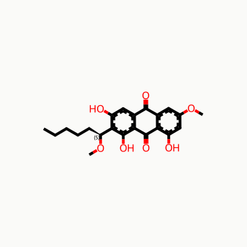 CCCCC[C@H](OC)c1c(O)cc2c(c1O)C(=O)c1c(O)cc(OC)cc1C2=O